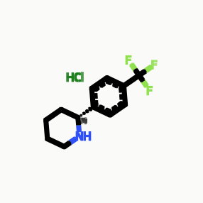 Cl.FC(F)(F)c1ccc([C@H]2CCCCN2)cc1